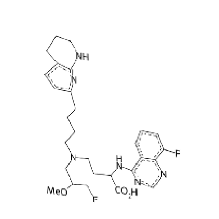 COC(CF)CN(CCCCc1ccc2c(n1)NCCC2)CCC(Nc1ncnc2c(F)cccc12)C(=O)O